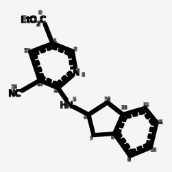 CCOC(=O)c1cnc(NC2Cc3ccccc3C2)c(C#N)c1